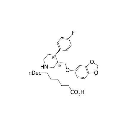 CCCCCCCCCCCCCCCC(=O)O.Fc1ccc([C@@H]2CCNC[C@H]2COc2ccc3c(c2)OCO3)cc1